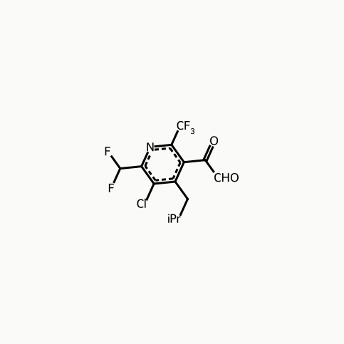 CC(C)Cc1c(Cl)c(C(F)F)nc(C(F)(F)F)c1C(=O)C=O